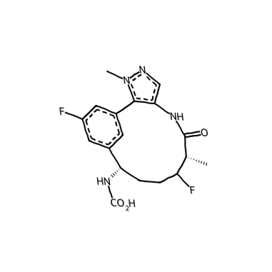 C[C@H]1C(=O)Nc2cnn(C)c2-c2cc(F)cc(c2)[C@@H](NC(=O)O)CCC1F